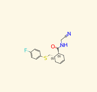 N#CCNC(=O)[C@H]1CC=CC[C@@H]1CSc1ccc(F)cc1